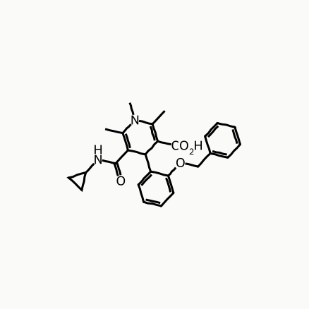 CC1=C(C(=O)O)C(c2ccccc2OCc2ccccc2)C(C(=O)NC2CC2)=C(C)N1C